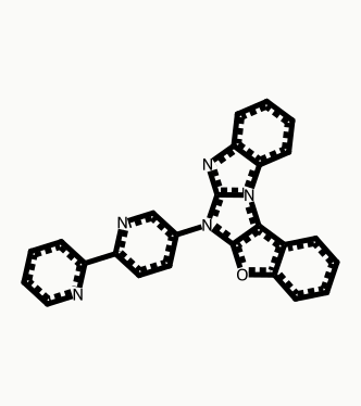 c1ccc(-c2ccc(-n3c4oc5ccccc5c4n4c5ccccc5nc34)cn2)nc1